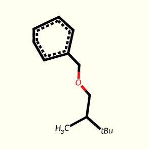 CC(COCc1ccccc1)C(C)(C)C